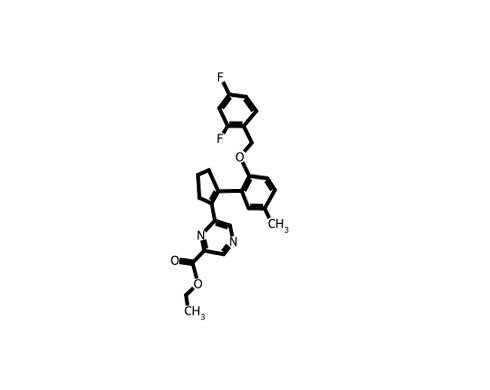 CCOC(=O)c1cncc(C2=C(c3cc(C)ccc3OCc3ccc(F)cc3F)CCC2)n1